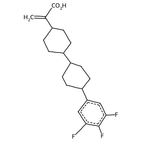 C=C(C(=O)O)C1CCC(C2CCC(c3cc(F)c(F)c(F)c3)CC2)CC1